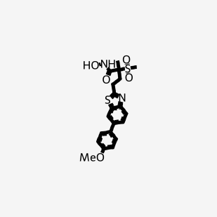 COc1ccc(-c2ccc3nc(CCC(C)(C(=O)NO)S(C)(=O)=O)sc3c2)cc1